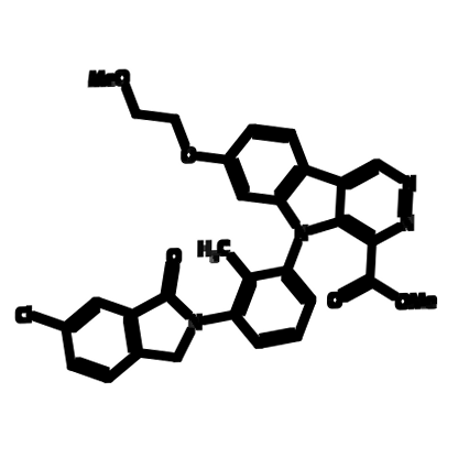 COCCOc1ccc2c3cnnc(C(=O)OC)c3n(-c3cccc(N4Cc5ccc(Cl)cc5C4=O)c3C)c2c1